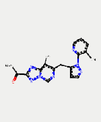 CCCc1c(Cc2ccnn2-c2ncccc2C#N)ncn2nc(C(=O)NC)nc12